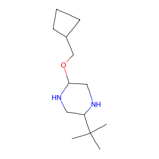 CC(C)(C)C1CNC(OCC2CCC2)CN1